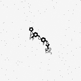 COC(=O)C1CN(Cc2ccc(OCc3ccc(OC4CCCC4)c(C(F)(F)F)c3)cc2F)C1